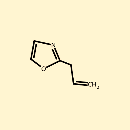 C=CCc1ncco1